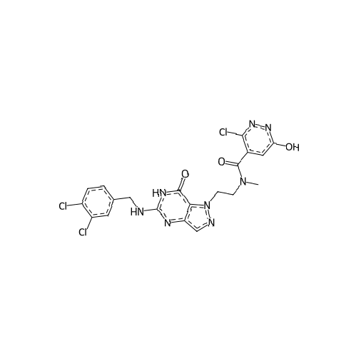 CN(CCn1ncc2nc(NCc3ccc(Cl)c(Cl)c3)[nH]c(=O)c21)C(=O)c1cc(O)nnc1Cl